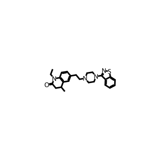 CCN1C(=O)CC(C)c2cc(CCN3CCN(c4nsc5ccccc45)CC3)ccc21